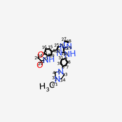 CCN1CCN(c2ccc(Nc3nc(-c4ccc5c(c4)NC(=O)CO5)cn4ccnc34)cc2)CC1